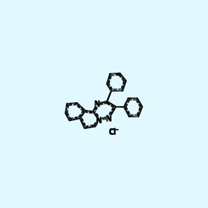 [Cl-].c1ccc(-c2nc3c4ccccc4cc[n+]3nc2-c2ccccc2)cc1